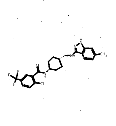 Cc1ccc2c(NC[C@H]3CC[C@H](NC(=O)c4cc(C(F)(F)F)ccc4Cl)CC3)n[nH]c2c1